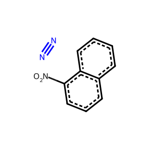 N#N.O=[N+]([O-])c1cccc2ccccc12